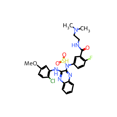 COc1ccc(Cl)c(Nc2nc3ccccc3nc2N(c2ccc(F)c(C(=O)NCCN(C)C)c2)[SH](=O)=O)c1